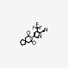 N#Cc1ncc(N2C(=O)CC3(CCCC3)CC2=O)cc1C(F)(F)F